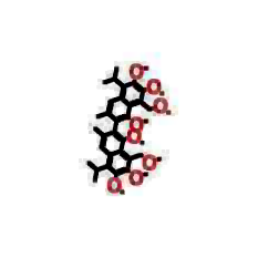 COCc1c(OC)c(OC)c(C(C)C)c2cc(C)c(-c3c(C)cc4c(C(C)C)c(OC)c(OC)c(COC)c4c3OC)c(OC)c12